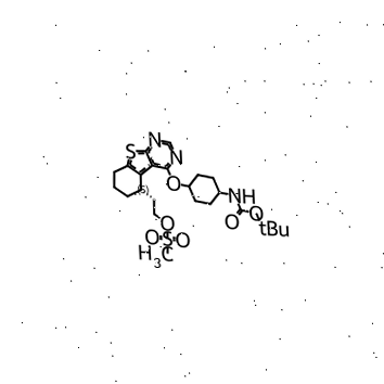 CC(C)(C)OC(=O)NC1CCC(Oc2ncnc3sc4c(c23)[C@H](CCOS(C)(=O)=O)CCC4)CC1